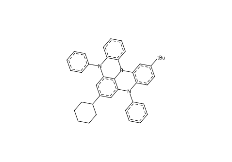 CC(C)(C)c1ccc2c(c1)B1c3ccccc3N(c3ccccc3)c3cc(C4CCCCC4)cc(c31)N2c1ccccc1